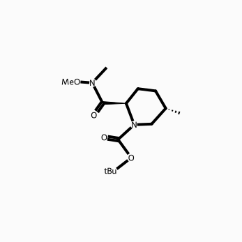 CON(C)C(=O)[C@H]1CC[C@H](C)CN1C(=O)OC(C)(C)C